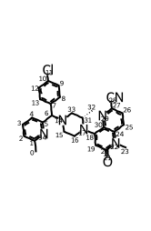 Cc1cccc(C(c2ccc(Cl)cc2)N2CCN(c3cc(=O)n(C)c4ccc(C#N)nc34)[C@@H](C)C2)n1